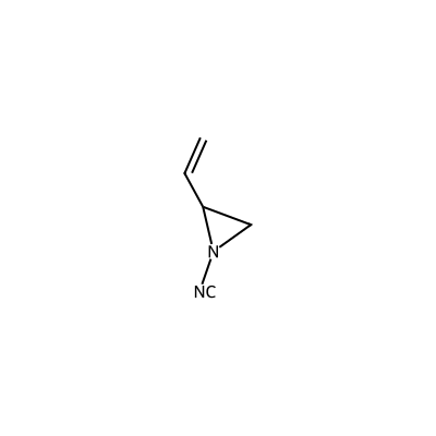 [C-]#[N+]N1CC1C=C